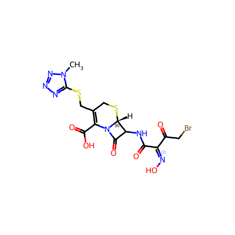 Cn1nnnc1SCC1=C(C(=O)O)N2C(=O)C(NC(=O)/C(=N\O)C(=O)CBr)[C@H]2SC1